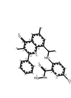 Cc1cc(C(C)Nc2ccc(Cl)nc2C(=O)NO)c2oc(-c3ccccc3)c(C)c(=O)c2c1